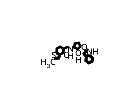 Cc1cc2c(s1)CCC(CNC1CCC(Oc3cc4ccccc4[nH]3)C1O)C2=O